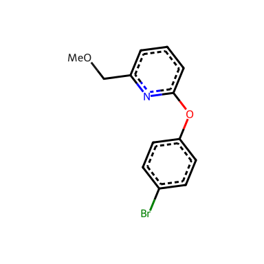 COCc1cccc(Oc2ccc(Br)cc2)n1